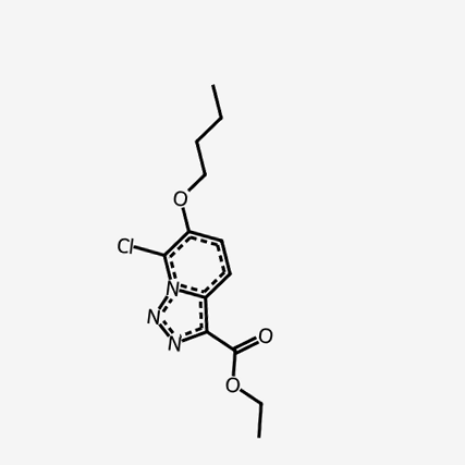 CCCCOc1ccc2c(C(=O)OCC)nnn2c1Cl